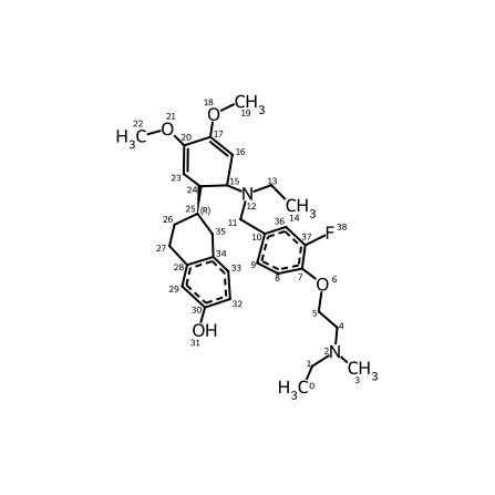 CCN(C)CCOc1ccc(CN(CC)C2C=C(OC)C(OC)=CC2[C@@H]2CCc3cc(O)ccc3C2)cc1F